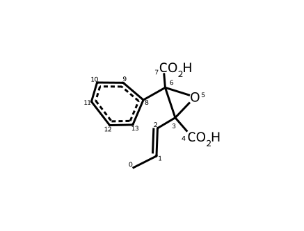 CC=CC1(C(=O)O)OC1(C(=O)O)c1ccccc1